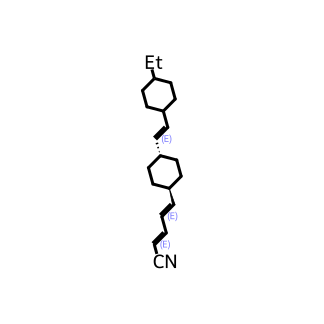 CCC1CCC(/C=C/[C@H]2CC[C@H](/C=C/C=C/C#N)CC2)CC1